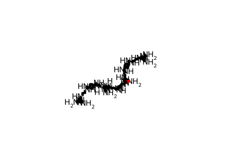 N=C(NCCCCNc1nc(N)nc(N)n1)c1ccc(C(=N)NCCNc2nc(N)nc(NCCCn3cc(CNc4nc(N)nc(NCCNC(=N)c5ccc(C(=N)NCCCCNc6nc(N)nc(N)n6)cc5)n4)nn3)n2)cc1